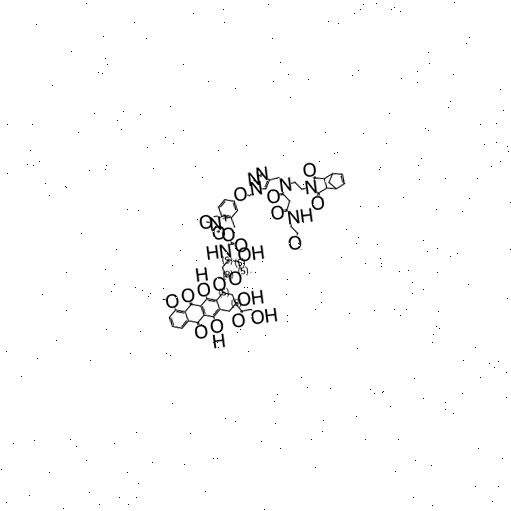 COCCNC(=O)CC(=O)N(CCN1C(=O)C2C3C=CC(C3)C2C1=O)Cc1cn(COc2ccc([N+](=O)[O-])c(COC(=O)N[C@H]3C[C@H](O[C@H]4C[C@](O)(C(=O)CO)Cc5c(O)c6c(c(O)c54)C(=O)c4c(OC)cccc4C6=O)O[C@@H](C)[C@H]3O)c2)nn1